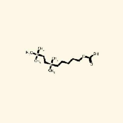 C[Si](C)(C)CC[Si](C)(C)CCCCCOC(=O)O